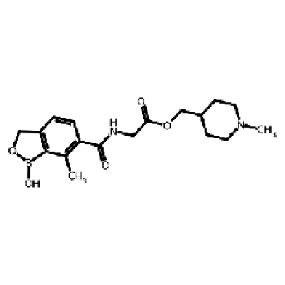 Cc1c(C(=O)NCC(=O)OCC2CCN(C)CC2)ccc2c1B(O)OC2